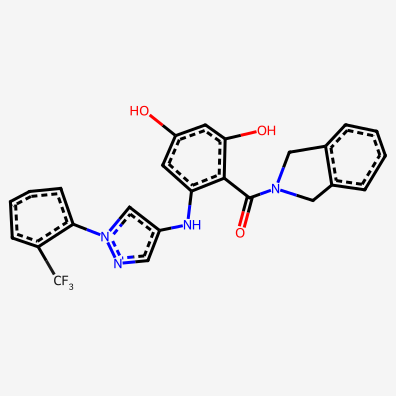 O=C(c1c(O)cc(O)cc1Nc1cnn(-c2ccccc2C(F)(F)F)c1)N1Cc2ccccc2C1